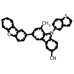 Cc1cc(-c2ccc3oc4ccccc4c3c2)cc2c3cc(C#N)ccc3n(-c3ccc4sccc4c3)c12